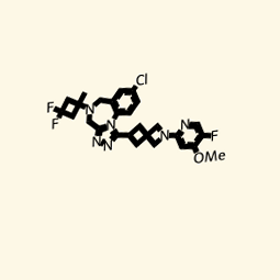 COc1cc(N2CC3(CC(c4nnc5n4-c4ccc(Cl)cc4CN(C4(C)CC(F)(F)C4)C5)C3)C2)ncc1F